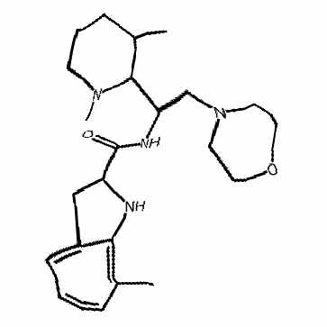 Cc1cccc2c1NC(C(=O)NC(CN1CCOCC1)C1C(C)CCCN1C)C2